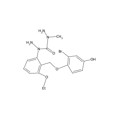 CCOc1cccc(N(N)C(=O)N(C)N)c1COc1ccc(O)cc1Br